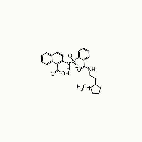 CN1CCCC1CCNC(=O)c1ccccc1S(=O)(=O)Nc1ccc2ccccc2c1C(=O)O